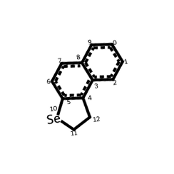 c1ccc2c3c(ccc2c1)[Se]CC3